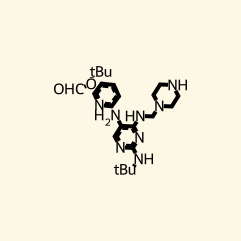 CC(C)(C)Nc1ncc(N)c(NCN2CCNCC2)n1.CC(C)(C)OC=O.c1ccncc1